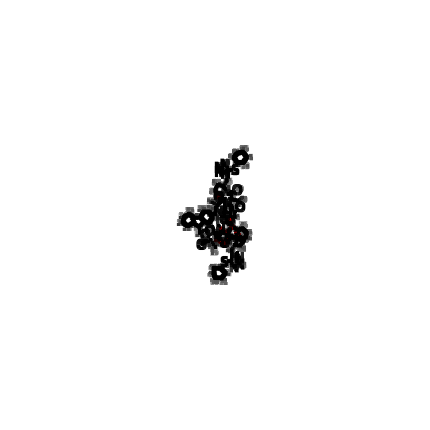 C[C@@H](OCCO[C@H](C)[C@H](NC(=O)[C@H](C)N(C)C(=O)OCC1c2ccccc2-c2ccccc21)C(=O)N1CCC[C@H]1Cn1nnnc1Sc1ccccc1)[C@H](NC(=O)[C@H](C)N(C)C(=O)OCC1c2ccccc2-c2ccccc21)C(=O)N1CCC[C@H]1Cn1nnnc1Sc1ccccc1